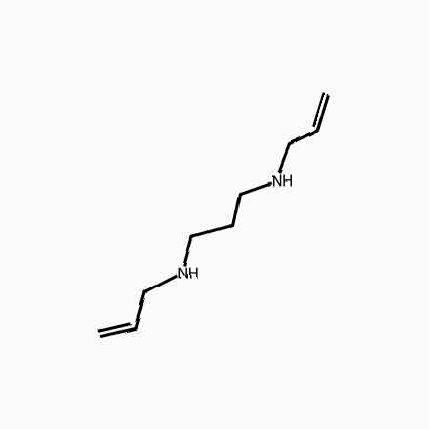 C=CCNCCCNCC=C